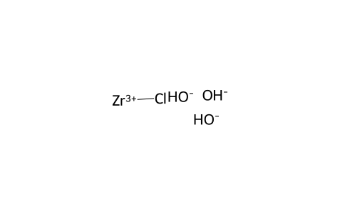 [Cl][Zr+3].[OH-].[OH-].[OH-]